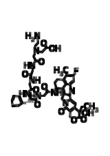 CC[C@@]1(O)C(=O)OCc2c1cc1n(c2=O)Cc2c-1nc1cc(F)c(C)c3c1c2[C@@H](NC(=O)CNC(=O)[C@H](Cc1ccccc1)NC(=O)CNC(=O)CNC(=O)CN(CCN)CC(=O)O)CC3